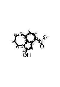 O=[N+]([O-])c1ccc2c3c1cc(O)n3CCCS2